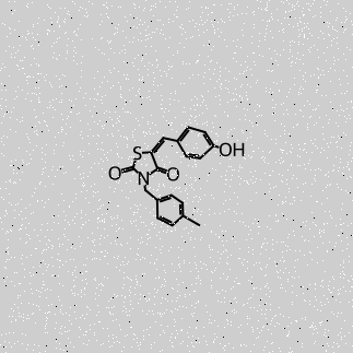 Cc1ccc(CN2C(=O)SC(=Cc3ccc(O)cc3)C2=O)cc1